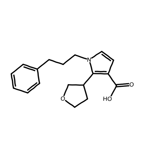 O=C(O)c1ccn(CCCc2ccccc2)c1C1CCOC1